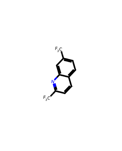 FC(F)(F)c1ccc2[c]cc(C(F)(F)F)nc2c1